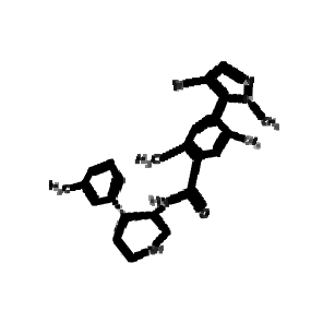 Cc1cccc([C@H]2CCNC[C@@H]2NC(=O)c2cc(C)c(-c3c(Br)cnn3C)cc2C)c1